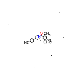 Cc1cc(C2CCC2)c(C=O)cc1C(=O)N1CCC(c2ccc(C#N)cc2)CC1